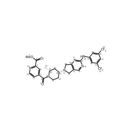 COC(=O)c1cc(C(=O)N2CC[C@@H](N3Cc4cnc(Nc5cc(C(F)(F)F)cc(C(F)(F)F)c5)nc4C3)C[C@H]2C)ccn1